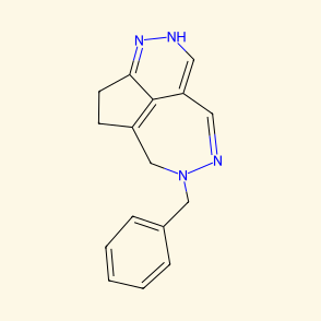 C1=NN(Cc2ccccc2)CC2=C3C1=CNN=C3CC2